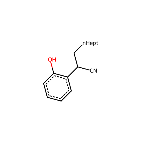 CCCCCCCCC(C#N)c1ccccc1O